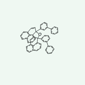 C1=CC(OC2(c3cccc(-c4ccccc4)c3)C=Cc3cccc4cccc2c34)(c2cccc(-c3ccccc3)c2)c2cccc3cccc1c23